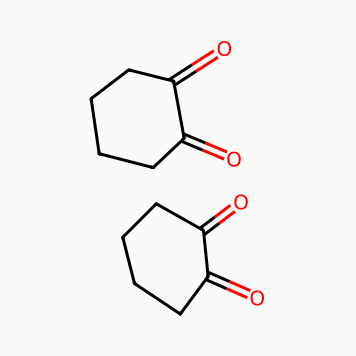 O=C1CCCCC1=O.O=C1CCCCC1=O